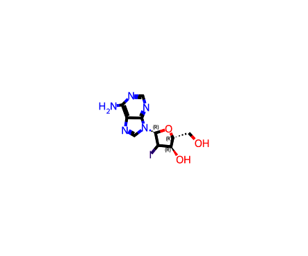 Nc1ncnc2c1ncn2[C@@H]1O[C@H](CO)[C@@H](O)C1I